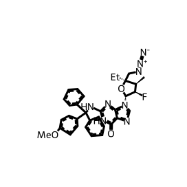 CC[C@@]1(CN=[N+]=[N-])O[C@@H](n2cnc3c(=O)[nH]c(NC(c4ccccc4)(c4ccccc4)c4ccc(OC)cc4)nc32)[C@H](F)[C@@H]1C